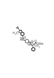 COC(=O)C(C)(C)C(NC(=O)C1CCC(NS(=O)(=O)c2ccc3cc(C4CC4)n(C)c3c2)CC1)c1ccccc1